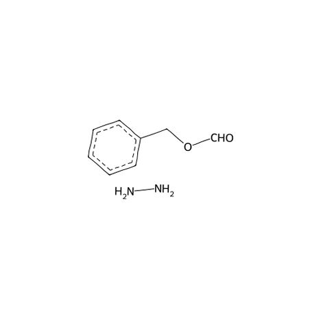 NN.O=COCc1ccccc1